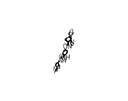 O=C(NCc1ccc(C(F)(F)F)nc1)Nc1ccc(Oc2ncnc3cc(N4CCOCC4)ccc23)cc1